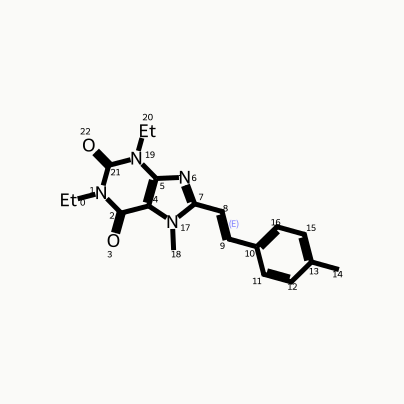 CCn1c(=O)c2c(nc(/C=C/c3ccc(C)cc3)n2C)n(CC)c1=O